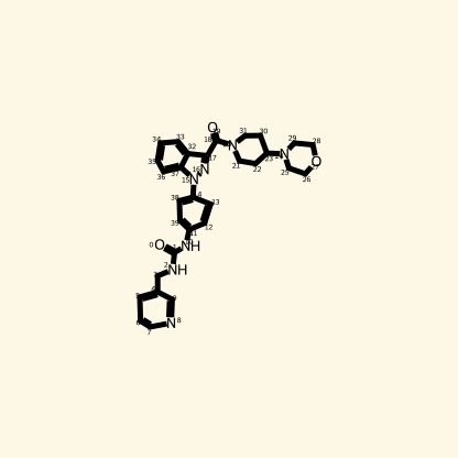 O=C(NCc1cccnc1)Nc1ccc(-n2nc(C(=O)N3CCC(N4CCOCC4)CC3)c3ccccc32)cc1